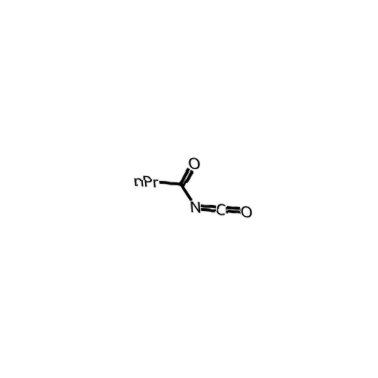 CCCC(=O)N=C=O